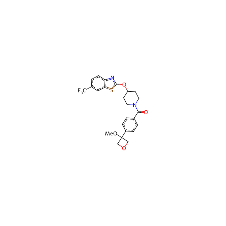 COC1(c2ccc(C(=O)N3CCC(Oc4nc5ccc(C(F)(F)F)cc5s4)CC3)cc2)COC1